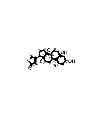 CO[C@]12CC[C@H](O)C[C@@]1(O)CCC1C2CC[C@]2(C)[C@@H](C3=CC(=O)OC3)CC[C@]12O